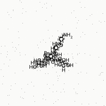 NCc1ccc(C(=O)Nc2ccc(C(=O)Nc3c(Br)c(C(=O)NCC(O)C(O)C(O)C(O)CO)c(Br)c(C(=O)NCC(O)C(O)C(O)C(O)CO)c3Br)cc2)cc1